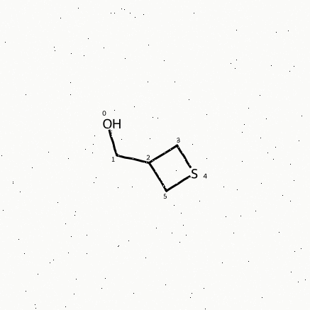 OCC1CSC1